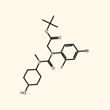 CN(C(=O)N(CC(=O)OC(C)(C)C)c1ccc(Br)cc1F)C1CCC(O)CC1